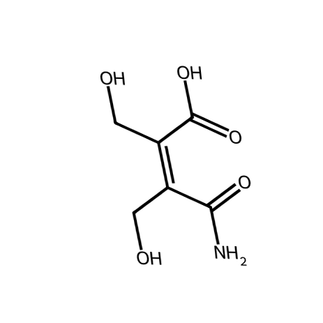 NC(=O)/C(CO)=C(/CO)C(=O)O